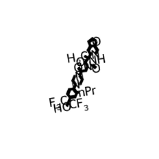 CCCc1cc(C(O)(C(F)(F)F)C(F)(F)F)ccc1N1CCN(C(=O)CN2C(=O)NC(C)(c3cc4ccoc4cn3)C2=O)CC1